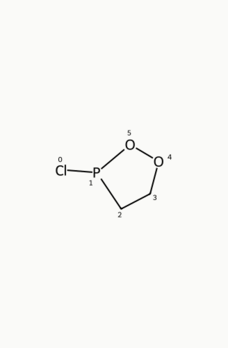 ClP1CCOO1